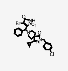 CCn1[nH]c(=O)c(Br)c1C(c1ccccc1)N1CCC2(CC1)C(=O)N(Cc1ccc(Cl)cc1)N=C2C1CC1